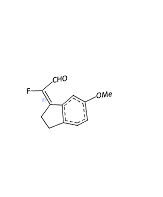 COc1ccc2c(c1)/C(=C(/F)C=O)CC2